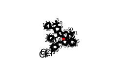 CC(C)(C)c1cc2c(cc1-c1ccccc1)[CH]([Zr+2]([C]1=CC=CC1)=[C](c1ccc(Cl)cc1)c1ccc(Cl)cc1)c1cc(-c3ccccc3)c(C(C)(C)C)cc1-2.[Cl-].[Cl-]